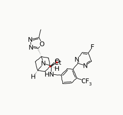 CC[C@H]1C[C@H]2C[C@@](c3nnc(C)o3)(C1)N2C(=O)Nc1ccc(C(F)(F)F)c(-c2ncc(F)cn2)c1